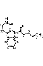 C=CCCC(=O)n1c2c(c3ccccc31)CCNC2